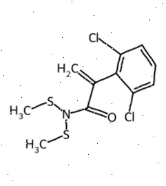 C=C(C(=O)N(SC)SC)c1c(Cl)cccc1Cl